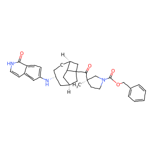 C[C@@]1(C(=O)C23C[C@@H]4CC2[C@@H](CC[C@@H](Nc2ccc5c(=O)[nH]ccc5c2)C4)C3)CCN(C(=O)OCc2ccccc2)C1